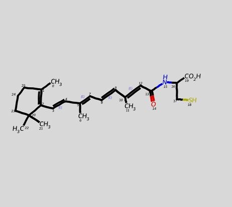 CC1=C(/C=C/C(C)=C/C=C/C(C)=C/C(=O)NC(CS)C(=O)O)C(C)(C)CCC1